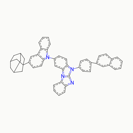 c1ccc2cc(-c3ccc(-n4c5ccc(-n6c7ccccc7c7cc(C89CC%10CC(CC(C%10)C8)C9)ccc76)cc5n5c6ccccc6nc45)cc3)ccc2c1